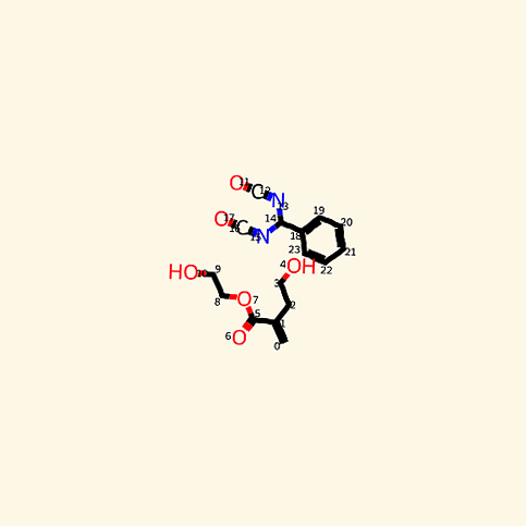 C=C(CCO)C(=O)OCCO.O=C=NC(N=C=O)c1ccccc1